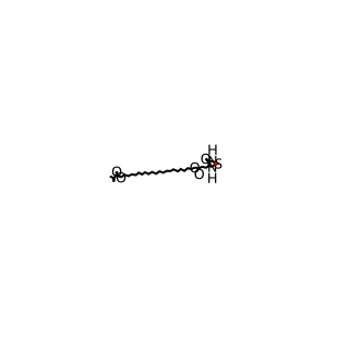 C=C(C)C(=O)OCCCCCCCCCCCCCCCCCCCCOC(=O)CCC1NC(=S)NC1=O